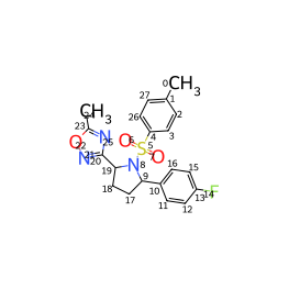 Cc1ccc(S(=O)(=O)N2C(c3ccc(F)cc3)CCC2c2noc(C)n2)cc1